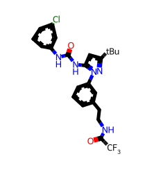 CC(C)(C)c1cc(NC(=O)Nc2cccc(Cl)c2)n(-c2cccc(CCNC(=O)C(F)(F)F)c2)n1